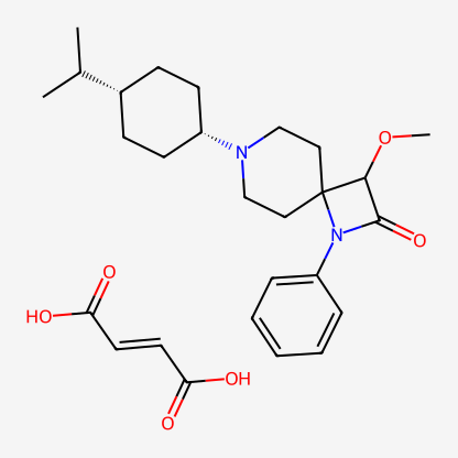 COC1C(=O)N(c2ccccc2)C12CCN([C@H]1CC[C@@H](C(C)C)CC1)CC2.O=C(O)C=CC(=O)O